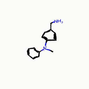 CN(c1ccccc1)c1ccc(CN)cc1